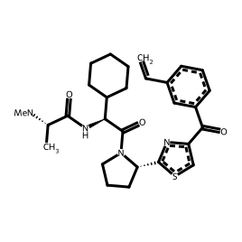 C=Cc1cccc(C(=O)c2csc([C@@H]3CCCN3C(=O)[C@@H](NC(=O)[C@H](C)NC)C3CCCCC3)n2)c1